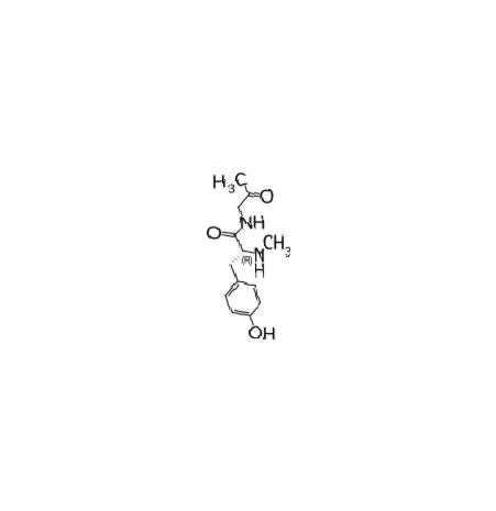 CN[C@H](Cc1ccc(O)cc1)C(=O)NCC(C)=O